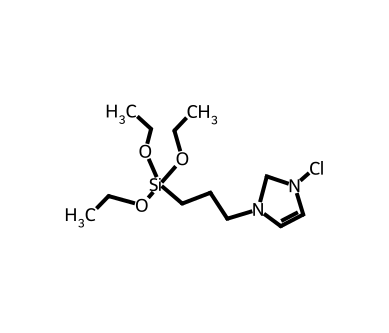 CCO[Si](CCCN1C=CN(Cl)C1)(OCC)OCC